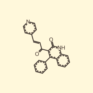 O=C(/C=C/c1ccncc1)c1c(-c2ccccc2)c2ccccc2[nH]c1=O